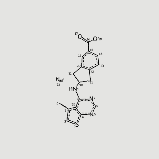 Cc1csc2ncnc(NC3Cc4ccc(C(=O)[O-])cc4C3)c12.[Na+]